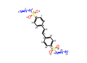 [N-]=[N+]=NS(=O)(=O)c1ccc(C=Cc2ccc(S(=O)(=O)N=[N+]=[N-])cc2)cc1